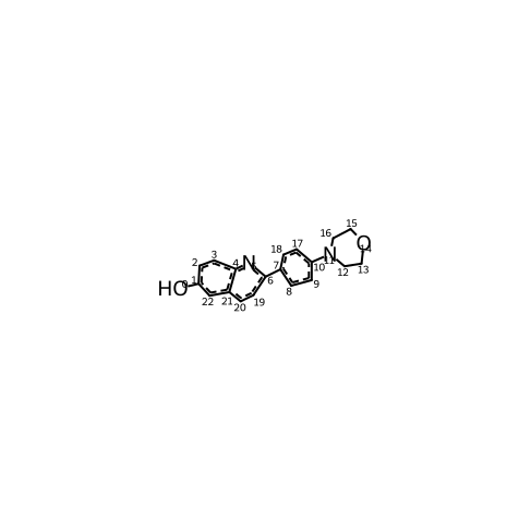 Oc1ccc2nc(-c3ccc(N4CCOCC4)cc3)ccc2c1